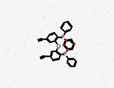 C#Cc1ccc(P(c2ccccc2)c2ccccc2)c(Oc2cc(C#C)ccc2P(c2ccccc2)c2ccccc2)c1